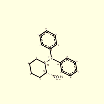 O=C(O)[C@@H]1CCCC[C@@H]1P(c1ccccc1)c1ccccc1